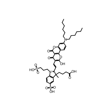 CCCCCCN(CCCCCC)c1ccc2c(c1)oc(=O)c1c(=O)c(/C=C/C3=[N+](CCCS(=O)(=O)O)c4ccc(S(=O)(=O)O)cc4C3(C)CCCC(=O)O)c(O)oc12